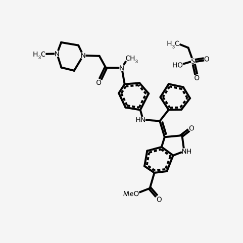 CCS(=O)(=O)O.COC(=O)c1ccc2c(c1)NC(=O)C2=C(Nc1ccc(N(C)C(=O)CN2CCN(C)CC2)cc1)c1ccccc1